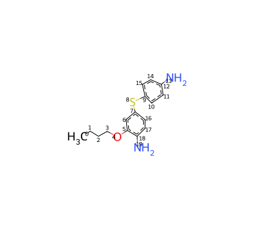 CCCCOc1cc(Sc2ccc(N)cc2)ccc1N